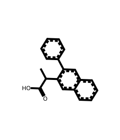 CC(C(=O)O)c1cc2ccccc2cc1-c1ccccc1